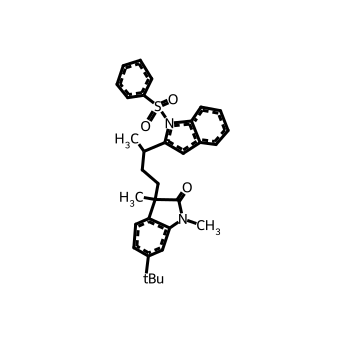 CC(CCC1(C)C(=O)N(C)c2cc(C(C)(C)C)ccc21)c1cc2ccccc2n1S(=O)(=O)c1ccccc1